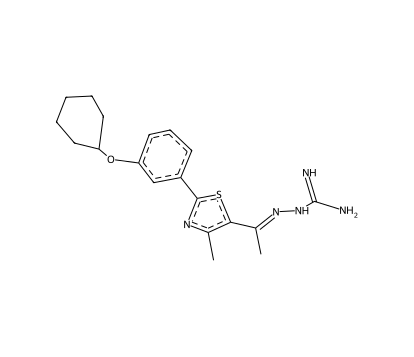 CC(=NNC(=N)N)c1sc(-c2cccc(OC3CCCCC3)c2)nc1C